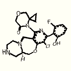 O=C1COCC2(CC2)N1c1nc(-c2c(O)cccc2F)c(Cl)c2c1CN1CCNC[C@@H]1CO2